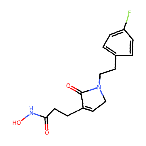 O=C(CCC1=CCN(CCc2ccc(F)cc2)C1=O)NO